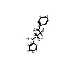 O=C(c1ccccc1)C(F)(F)S(=O)(=O)N(F)c1ccccc1